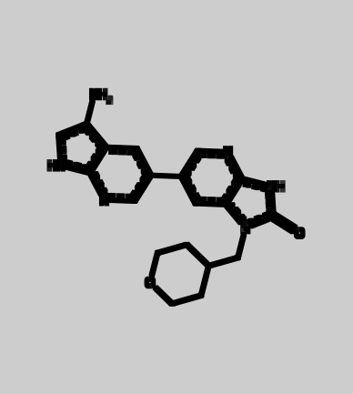 Nc1c[nH]c2ncc(-c3cnc4[nH]c(=O)n(CC5CCOCC5)c4c3)cc12